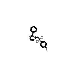 O=S(=O)(Cn1ccnc1-c1ccccc1)c1ccc(F)cc1